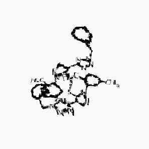 Cc1ccc(C)c(-n2ncc(-c3nnn(Cc4ccccc4)n3)c2SSc2c(-c3nnn(Cc4ccccc4)n3)cnn2-c2cc(C)ccc2C)c1